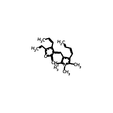 C=C/C=C\c1c(/C=c2/c(/C=C\C)c(C=C)oc2=C)c(C)n(C)c1C